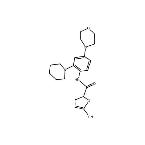 N#CC1=CCC(C(=O)Nc2ccc(N3CCOCC3)cc2N2CCCCC2)O1